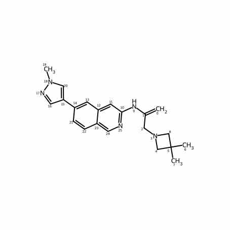 C=C(CN1CC(C)(C)C1)Nc1cc2cc(-c3cnn(C)c3)ccc2cn1